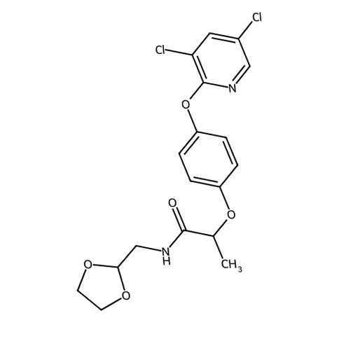 CC(Oc1ccc(Oc2ncc(Cl)cc2Cl)cc1)C(=O)NCC1OCCO1